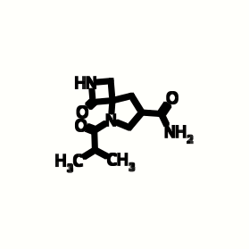 CC(C)C(=O)N1CC(C(N)=O)CC12CNC2=O